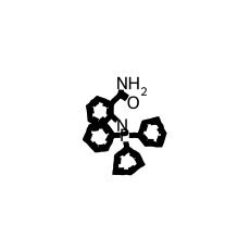 NC(=O)c1ccccc1N=P(c1ccccc1)(c1ccccc1)c1ccccc1